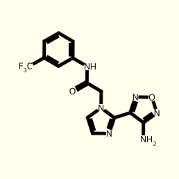 Nc1nonc1-c1nccn1CC(=O)Nc1cccc(C(F)(F)F)c1